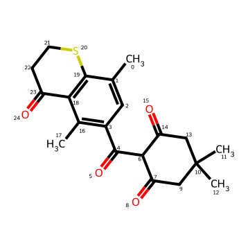 Cc1cc(C(=O)C2C(=O)CC(C)(C)CC2=O)c(C)c2c1SCCC2=O